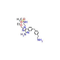 CCOCc1nc2c(N)nc3cc(Cc4ccc(CCN)cc4)ccc3c2n1CCNS(C)(=O)=O